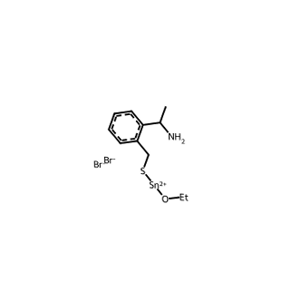 CC[O][Sn+2][S]Cc1ccccc1C(C)N.[Br-].[Br-]